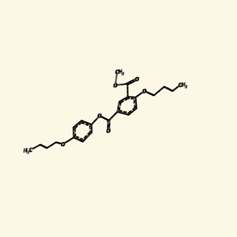 CCCCOc1ccc(OC(=O)c2ccc(OCCCC)c(C(=O)OC)c2)cc1